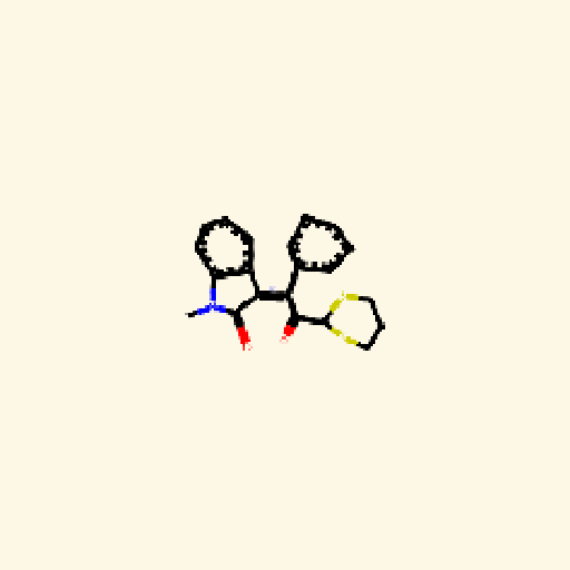 CN1C(=O)/C(=C(\C(=O)C2SCCCS2)c2ccccc2)c2ccccc21